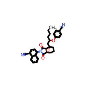 CCCCC(CC12CCC(O1)C1C(=O)N(c3ccc(C#N)c4ccccc34)C(=O)C12)Oc1ccc(C#N)cc1